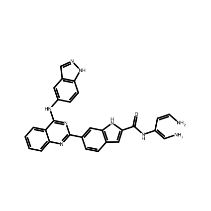 N/C=C\C(=C/N)NC(=O)c1cc2ccc(-c3nc(Nc4ccc5[nH]ncc5c4)c4ccccc4n3)cc2[nH]1